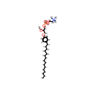 CCCCCCCCCCCCCCCCc1ccc(OCC(COP(O)OCC[N+](C)(C)C)OC)cc1